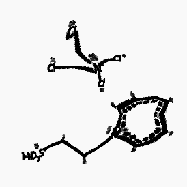 O=S(=O)(O)CC[n+]1ccccc1.[Cl][Al-]([Cl])([Cl])[Cl]